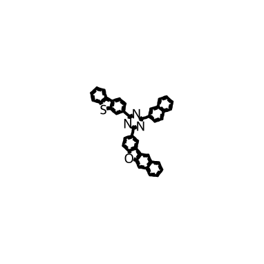 c1ccc2cc(-c3nc(-c4ccc5c(c4)sc4ccccc45)nc(-c4ccc5oc6cc7ccccc7cc6c5c4)n3)ccc2c1